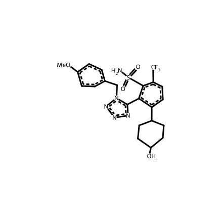 COc1ccc(Cn2nnnc2-c2c(C3CCC(O)CC3)ccc(C(F)(F)F)c2S(N)(=O)=O)cc1